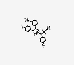 C[C@H](NC(c1ccc(F)cc1)C(C)(C)C#N)[C@@H](Cc1ccc(I)cc1)c1cccc(C#N)c1